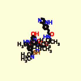 C/C=N\C(C)=C(/S)c1ccc([C@H](C)NC(=O)[C@@H]2C[C@@H](O)CN2C(=O)[C@@H](NC(=O)CC(C)(C)COCC(C)(C)CNC(=O)CCc2ccc3c(c2)[nH]c2ccncc23)C(C)(C)C)cc1